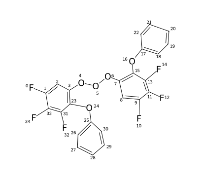 Fc1cc(OOOc2cc(F)c(F)c(F)c2Oc2ccccc2)c(Oc2ccccc2)c(F)c1F